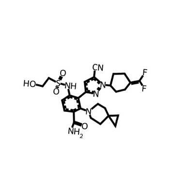 N#Cc1cc(-c2c(NS(=O)(=O)CCO)ccc(C(N)=O)c2N2CCC3(CC2)CC3)nn1C1CCC(=C(F)F)CC1